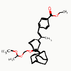 CCOC(=O)c1ccc(/C=C(\C)c2ccc(OCOC(C)OC)c(C34CC5CC(CC(C5)C3)C4)c2)cc1